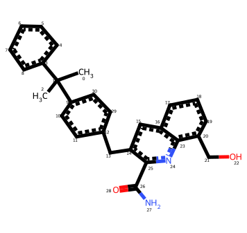 CC(C)(c1ccccc1)c1ccc(Cc2cc3cccc(CO)c3nc2C(N)=O)cc1